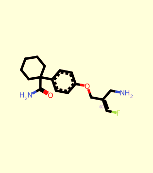 NC/C(=C\F)COc1ccc(C2(C(N)=O)CCCCC2)cc1